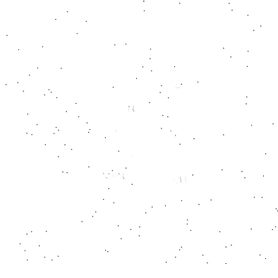 C=N/C(C)=N\C(C)C(=O)NC